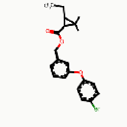 CC1(C)C(CC(Cl)(Cl)Cl)C1C(=O)OCc1cccc(Oc2ccc(Br)cc2)c1